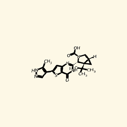 Cc1[nH]ncc1-c1cc2nc([C@@H]3N(C(=O)O)C[C@@H]4C[C@@]43C(C)(C)C)[nH]c(=O)c2s1